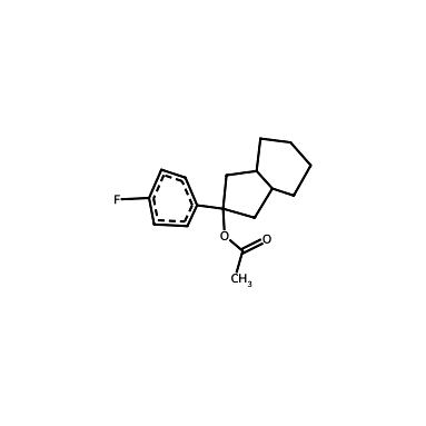 CC(=O)OC1(c2ccc(F)cc2)CC2CCCCC2C1